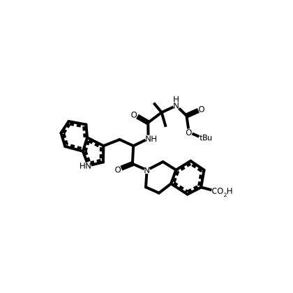 CC(C)(C)OC(=O)NC(C)(C)C(=O)NC(Cc1c[nH]c2ccccc12)C(=O)N1CCc2cc(C(=O)O)ccc2C1